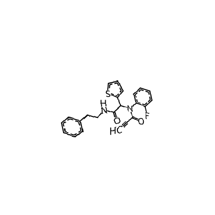 C#CC(=O)N(c1ccccc1F)C(C(=O)NCCc1ccccc1)c1cccs1